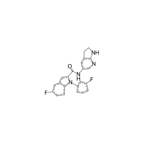 O=C(Nc1cnc2c(c1)CCN2)c1cc2cc(F)ccc2n1-c1cccc(F)c1